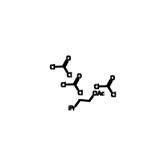 CC(=O)OCCC(C)C.O=C(Cl)Cl.O=C(Cl)Cl.O=C(Cl)Cl